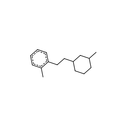 Cc1ccccc1CCC1CCCC(C)C1